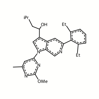 CCc1cccc(CC)c1-c1cc2c(C(O)CC(C)C)cn(-c3cc(C)nc(OC)n3)c2cn1